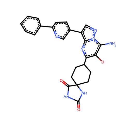 Nc1c(Br)c(C2CCC3(CC2)NC(=O)NC3=O)nc2c(-c3ccc(-c4ccccc4)nc3)cnn12